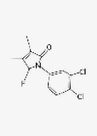 CC1=C(C)C(F)N(c2ccc(Cl)c(Cl)c2)C1=O